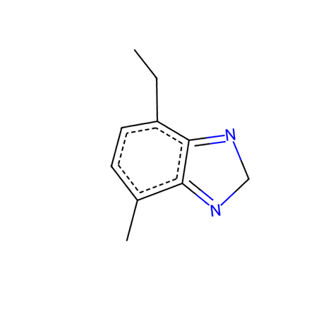 CCc1ccc(C)c2c1=NCN=2